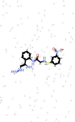 NN/C=C(\N)c1ccccc1NC(=O)CNSc1cccc([N+](=O)[O-])c1